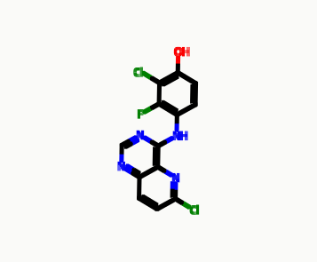 Oc1ccc(Nc2ncnc3ccc(Cl)nc23)c(F)c1Cl